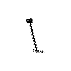 COC(=O)CCCCCCCCCCCCCCCCCC12CC3CC(CC(C3)C1)C2